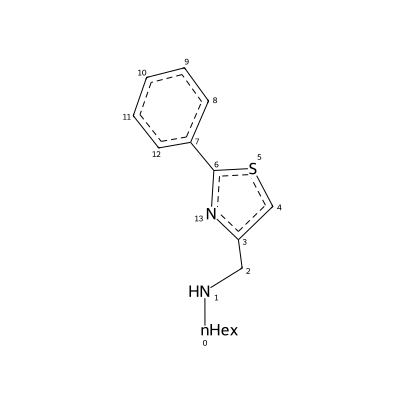 CCCCCCNCc1csc(-c2ccccc2)n1